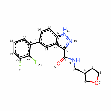 O=C(NC[C@H]1CCOC1)c1n[nH]c2ccc(-c3cccc(F)c3F)cc12